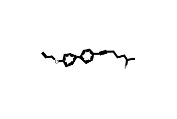 C=CCOc1ccc(-c2ccc(C#CCCCC(C)F)cc2)cc1